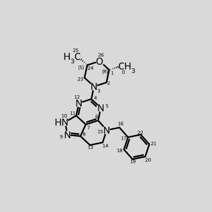 C[C@@H]1CN(c2nc3c4c(n[nH]c4n2)CCN3Cc2ccccc2)C[C@H](C)O1